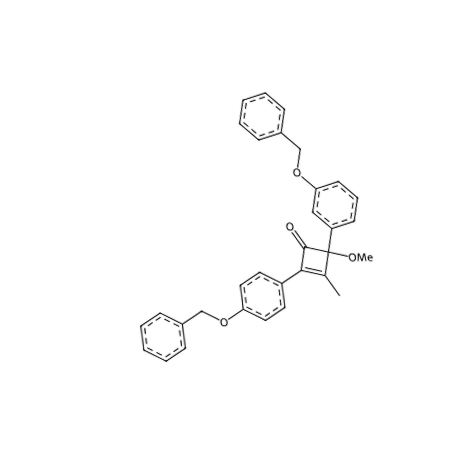 COC1(c2cccc(OCc3ccccc3)c2)C(=O)C(c2ccc(OCc3ccccc3)cc2)=C1C